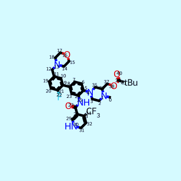 CN1CCN(c2ccc(-c3cc(CN4CCOCC4)ccc3F)cc2NC(=O)C2=CNCC=C2C(F)(F)F)CC1COC(=O)C(C)(C)C